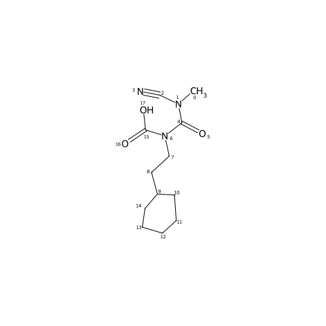 CN(C#N)C(=O)N(CCC1CCCCC1)C(=O)O